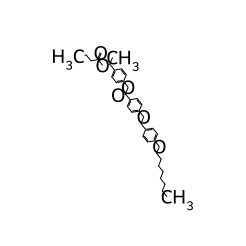 CCCCCCCCOc1ccc(COc2ccc(C(=O)Oc3ccc(C(C)OC(=O)CCC)cc3)cc2)cc1